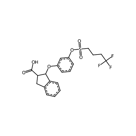 O=C(O)C1Cc2ccccc2C1Oc1cccc(OS(=O)(=O)CCCC(F)(F)F)c1